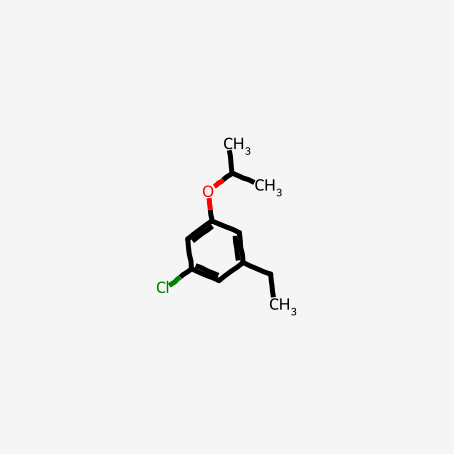 CCc1cc(Cl)cc(OC(C)C)c1